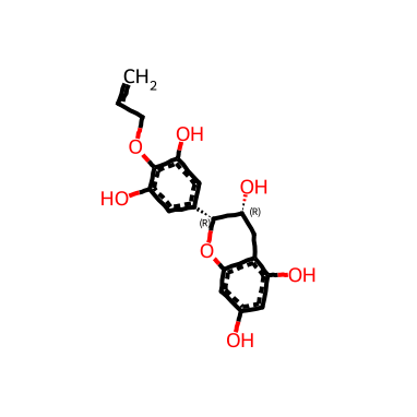 C=CCOc1c(O)cc([C@H]2Oc3cc(O)cc(O)c3C[C@H]2O)cc1O